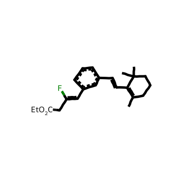 CCOC(=O)C/C(F)=C/c1cccc(/C=C/C2=C(C)CCCC2(C)C)c1